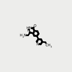 CCc1cncc(-c2ccc3c(=O)[nH]nc(CN)c3c2)c1